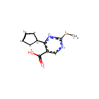 CSc1ncc(C(=O)O)c(C2CCCC2)n1